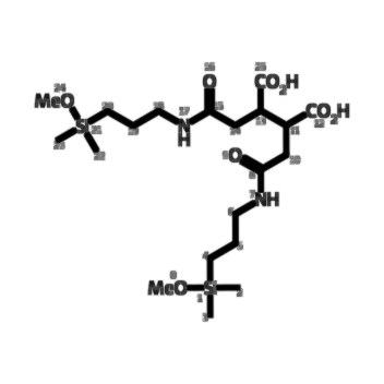 CO[Si](C)(C)CCCNC(=O)CC(C(=O)O)C(CC(=O)NCCC[Si](C)(C)OC)C(=O)O